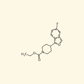 CCOC(=O)N1CCC(c2occ3cc(F)ccc23)CC1